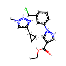 CCOC(=O)c1cnn(-c2cccc(CCl)c2)c1[C@@H]1C[C@H]1c1cn(C)nn1